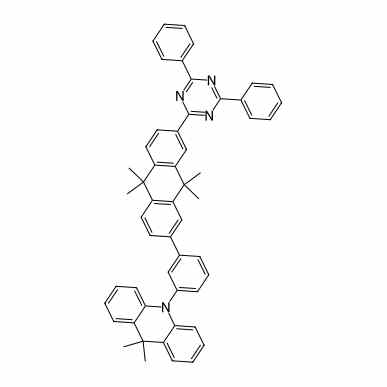 CC1(C)c2ccccc2N(c2cccc(-c3ccc4c(c3)C(C)(C)c3cc(-c5nc(-c6ccccc6)nc(-c6ccccc6)n5)ccc3C4(C)C)c2)c2ccccc21